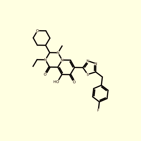 CCN1C(=O)c2c(O)c(=O)c(-c3nnc(Cc4ccc(F)cc4)s3)cn2N(C)C1C1CCOCC1